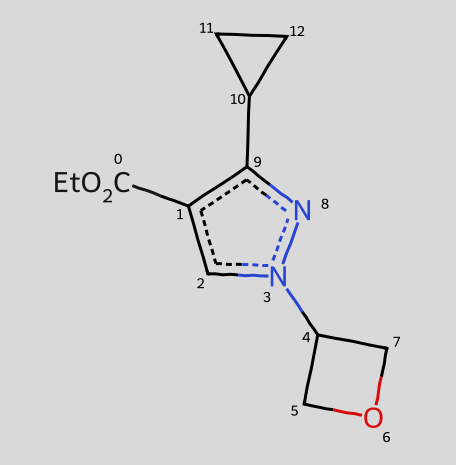 CCOC(=O)c1cn(C2COC2)nc1C1CC1